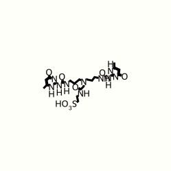 Cc1cc(=O)nc(NC(=O)NCCCN(CCCNC(=O)Nc2nc(=O)cc(C)[nH]2)CC(=O)NCCS(=O)(=O)O)[nH]1